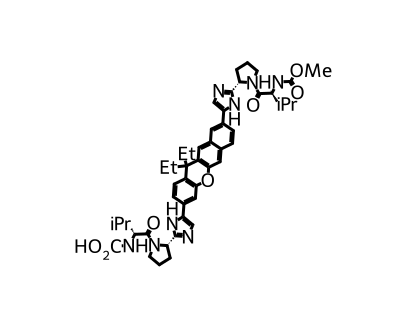 CCC1(CC)c2ccc(-c3cnc([C@@H]4CCCN4C(=O)[C@H](NC(=O)O)C(C)C)[nH]3)cc2Oc2cc3ccc(-c4cnc([C@@H]5CCCN5C(=O)[C@@H](NC(=O)OC)C(C)C)[nH]4)cc3cc21